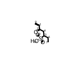 C=CC(=O)CC(CC)S(=O)(=O)O